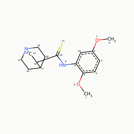 COc1ccc(OC)c(NC(=S)C2CN3CCC2CC3)c1